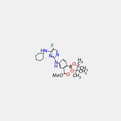 COC(=O)c1cc(Nc2ncc(F)c(NC3CCCCC3)n2)ccc1B1OC(C)(C)C(C)(C)O1